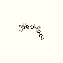 CN(C)c1ccc(-c2ccc(C(O)CNC3CCN(c4cc(C(F)(F)F)c5c(N)c(C(N)=O)sc5n4)CC3)nc2)cn1